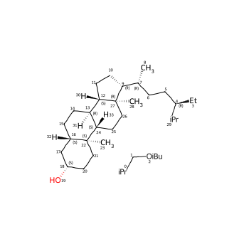 CC(C)COCC(C)C.CC[C@H](CC[C@@H](C)[C@H]1CC[C@H]2[C@@H]3CC[C@H]4C[C@@H](O)CC[C@]4(C)[C@H]3CC[C@]12C)C(C)C